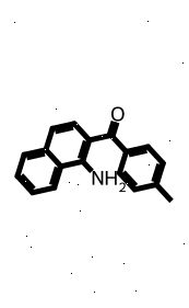 Cc1ccc(C(=O)c2ccc3ccccc3c2N)cc1